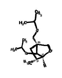 CC(C)OC[C@]12CO[C@H](C1OC(C)C)[C@H](C)C2